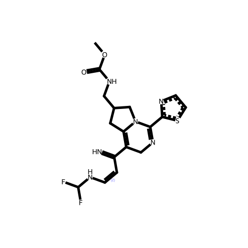 COC(=O)NCC1CC2=C(C(=N)/C=C\NC(F)F)CN=C(c3nccs3)N2C1